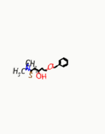 CN(C)C(=S)C[C@H](O)CCOCc1ccccc1